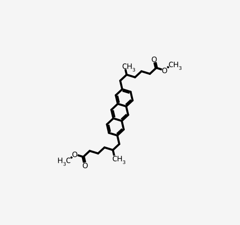 COC(=O)CCCC(C)Cc1ccc2cc3cc(CC(C)CCCC(=O)OC)ccc3cc2c1